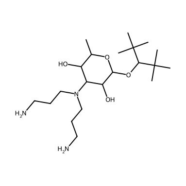 CC1OC(OC(C(C)(C)C)C(C)(C)C)C(O)C(N(CCCN)CCCN)C1O